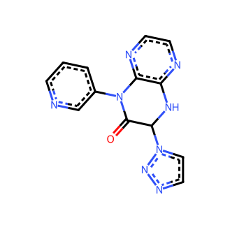 O=C1C(n2ccnn2)Nc2nccnc2N1c1cccnc1